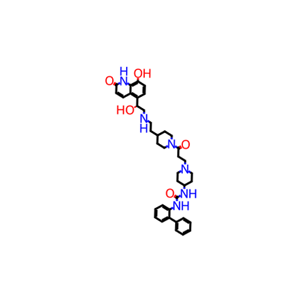 O=C(Nc1ccccc1-c1ccccc1)NC1CCN(CCC(=O)N2CCC(CCNC[C@@H](O)c3ccc(O)c4[nH]c(=O)ccc34)CC2)CC1